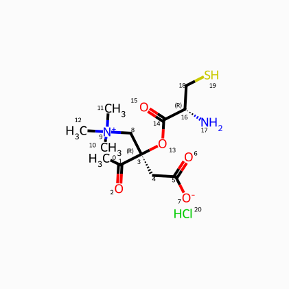 CC(=O)[C@@](CC(=O)[O-])(C[N+](C)(C)C)OC(=O)[C@@H](N)CS.Cl